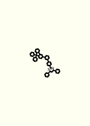 c1ccc(-c2cc(-c3ccccc3)nc(-c3ccc(-c4cccc(-c5ccc6c(c5)-c5ccccc5C6(c5ccccc5)c5ccccc5)c4)cc3)n2)cc1